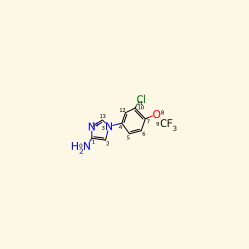 Nc1cn(-c2ccc(OC(F)(F)F)c(Cl)c2)cn1